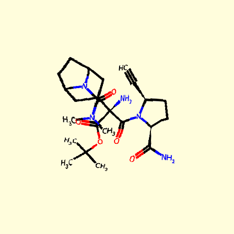 C#C[C@H]1CC[C@@H](C(N)=O)N1C(=O)[C@](N)(C(=O)OC(C)(C)C)C1CC2CCC(C1)N2C(=O)N(C)C